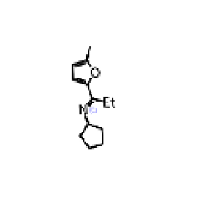 CC/C(=N\C1CCCC1)c1ccc(C)o1